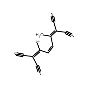 CC(/C=C\C(S)=C(C#N)C#N)=C(C#N)C#N